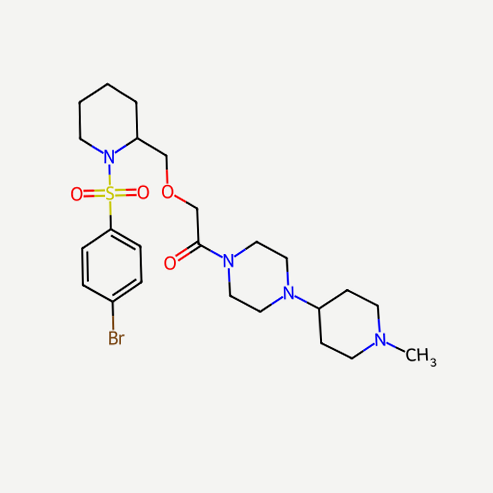 CN1CCC(N2CCN(C(=O)COCC3CCCCN3S(=O)(=O)c3ccc(Br)cc3)CC2)CC1